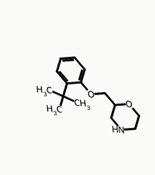 CC(C)(C)c1ccccc1OCC1CNCCO1